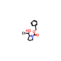 CCC(O)C1CCCN1C(=O)OCc1ccccc1